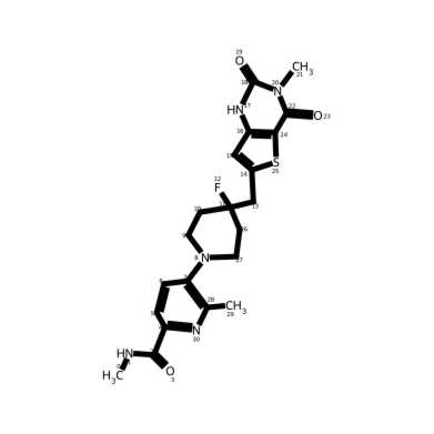 CNC(=O)c1ccc(N2CCC(F)(Cc3cc4[nH]c(=O)n(C)c(=O)c4s3)CC2)c(C)n1